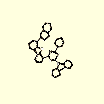 c1ccc(-c2nc(-c3cccc4c3oc3c(-c5ccc6ccccc6c5)cccc34)nc(-n3c4ccccc4c4ccccc43)n2)cc1